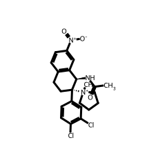 CC(=O)N[C@@H]1c2cc([N+](=O)[O-])ccc2CC[C@@]1(c1ccc(Cl)c(Cl)c1)[N+]1(C)CCCC1